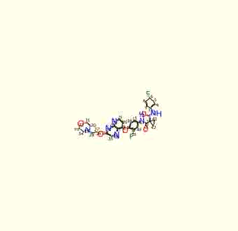 O=C(NC1=CCC(F)C=C1)C1(C(=O)Nc2ccc(Oc3ccnc4nc(OCCN5CCOCC5)cnc34)c(F)c2)CC1